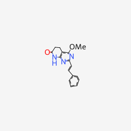 COc1nc(C=Cc2ccccc2)nc2c1CCC(=O)N2